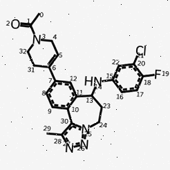 CC(=O)N1CC=C(c2ccc3c(c2)C(Nc2ccc(F)c(Cl)c2)CCn2nnc(C)c2-3)CC1